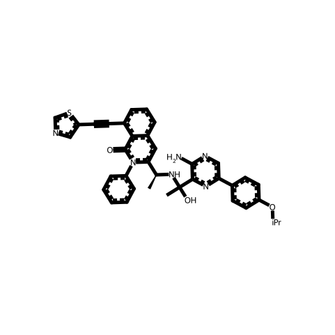 CC(C)Oc1ccc(-c2cnc(N)c(C(C)(O)N[C@@H](C)c3cc4cccc(C#Cc5cncs5)c4c(=O)n3-c3ccccc3)n2)cc1